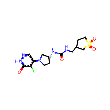 O=C(NCC1CCS(=O)(=O)C1)N[C@@H]1CCN(c2cn[nH]c(=O)c2Cl)C1